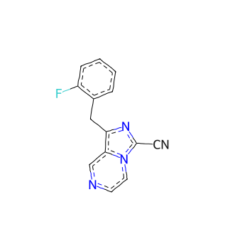 N#Cc1nc(Cc2ccccc2F)c2cnccn12